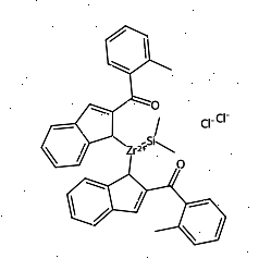 Cc1ccccc1C(=O)C1=Cc2ccccc2[CH]1[Zr+2]([CH]1C(C(=O)c2ccccc2C)=Cc2ccccc21)=[Si](C)C.[Cl-].[Cl-]